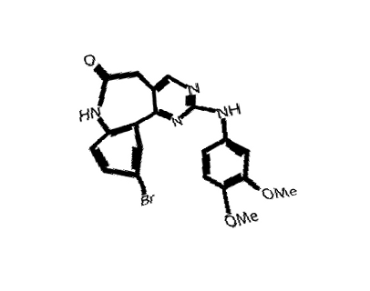 COc1ccc(Nc2ncc3c(n2)-c2cc(Br)ccc2NC(=O)C3)cc1OC